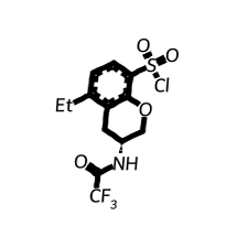 CCc1ccc(S(=O)(=O)Cl)c2c1C[C@@H](NC(=O)C(F)(F)F)CO2